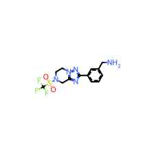 NCc1cccc(-c2nc3n(n2)CCN(S(=O)(=O)C(F)(F)F)C3)c1